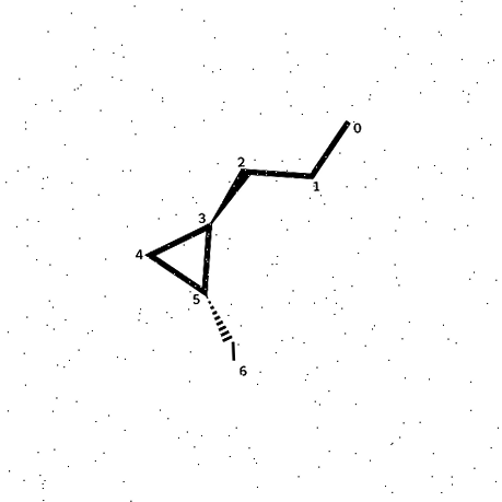 CCC[C@@H]1C[C@H]1I